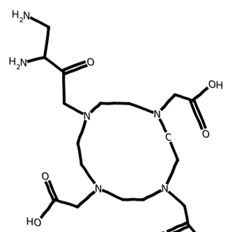 NCC(N)C(=O)CN1CCN(CC(=O)O)CCN(CC(=O)O)CCN(CC(=O)O)CC1